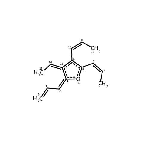 C=C/C=c1/oc(/C=C\C)c(/C=C\C)/c1=C/C